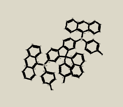 Cc1ccc(N(c2ccc3c(c2)C(c2ccc(C)cc2)(c2cccc4ccccc24)c2cc(N(c4ccc(C)cc4)c4c5ccccc5cc5ccccc45)ccc2-3)c2c3ccccc3cc3ccccc23)cc1